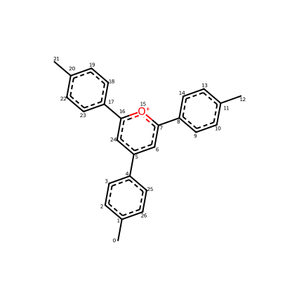 Cc1ccc(-c2cc(-c3ccc(C)cc3)[o+]c(-c3ccc(C)cc3)c2)cc1